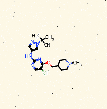 CN1CCC(COc2nc(Nc3cnn(C(C)(C)C#N)c3)ncc2Cl)CC1